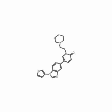 O=c1ccc(-c2ccc3c(c2)ncn3-c2ccsc2)cn1CCN1CCCCC1